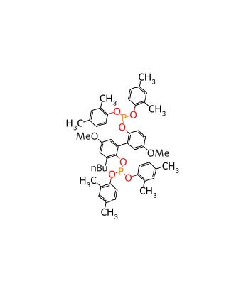 CCCCc1cc(OC)cc(-c2cc(OC)ccc2OP(Oc2ccc(C)cc2C)Oc2ccc(C)cc2C)c1OP(Oc1ccc(C)cc1C)Oc1ccc(C)cc1C